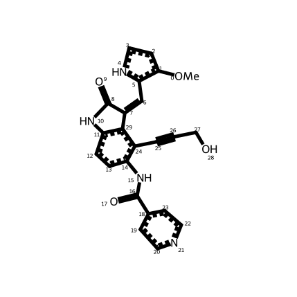 COc1cc[nH]c1C=C1C(=O)Nc2ccc(NC(=O)c3ccncc3)c(C#CCO)c21